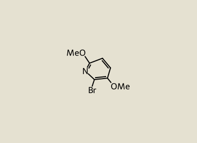 COc1ccc(OC)c(Br)n1